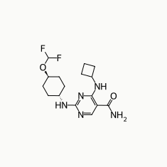 NC(=O)c1cnc(N[C@H]2CC[C@H](OC(F)F)CC2)nc1NC1CCC1